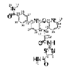 CNC(=O)c1cnc(NC(=O)C(C)(C)[C@H]2c3ccc(C)nc3Oc3nc(-c4ccc(C(=O)N(C)C)cc4)ccc32)s1